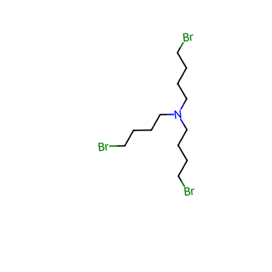 BrCCCCN(CCCCBr)CCCCBr